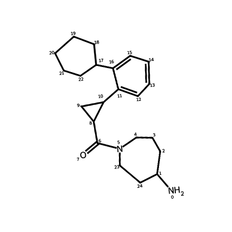 NC1CCCN(C(=O)C2CC2c2ccccc2C2CCCCC2)CC1